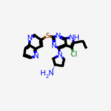 CCc1[nH]c2nc(Sc3cnc4cccnc4c3)nc(N3CC[C@H](N)C3)c2c1Cl